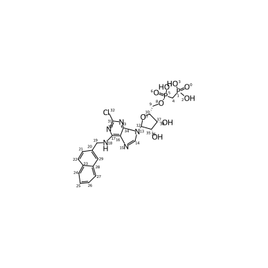 O=P(O)(O)CP(=O)(O)OC[C@H]1O[C@@H](n2cnc3c(NCc4ccc5ccccc5c4)nc(Cl)nc32)[C@@H](O)[C@H]1O